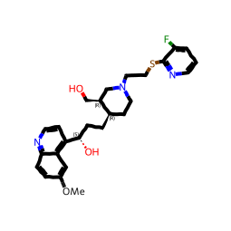 COc1ccc2nccc([C@@H](O)CC[C@@H]3CCN(CCSc4ncccc4F)C[C@@H]3CO)c2c1